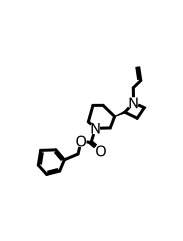 C=CCN1CCC1[C@@H]1CCCN(C(=O)OCc2ccccc2)C1